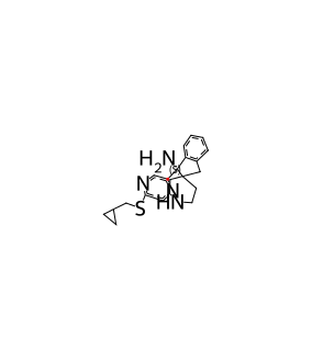 N[C@]1(c2cnc(SCC3CC3)cn2)c2ccccc2CC12CCNCC2